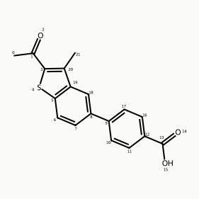 CC(=O)c1sc2ccc(-c3ccc(C(=O)O)cc3)cc2c1C